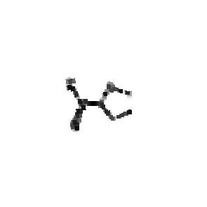 O=[N+]([O-])[C]1CCCO1